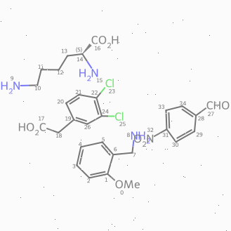 COc1ccccc1CN.NCCCC[C@H](N)C(=O)O.O=C(O)Cc1ccc(Cl)c(Cl)c1.O=Cc1ccc([N+](=O)[O-])cc1